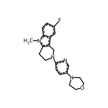 Cn1c2c(c3cc(F)ccc31)CN(c1ccc(N3CCOCC3)cn1)CC2